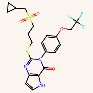 O=c1c2[nH]ccc2nc(SCCCS(=O)(=O)CC2CC2)n1-c1ccc(OCC(F)(F)F)cc1